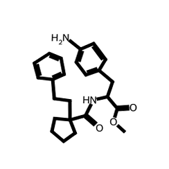 COC(=O)C(Cc1ccc(N)cc1)NC(=O)C1(CCc2ccccc2)CCCC1